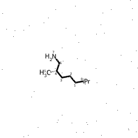 CC(C)CCC[C@H](C)CN